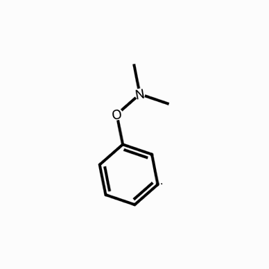 CN(C)Oc1c[c]ccc1